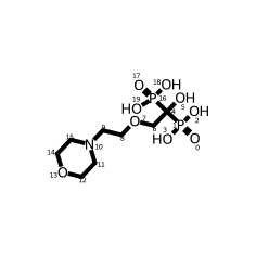 O=P(O)(O)C(O)(COCCN1CCOCC1)P(=O)(O)O